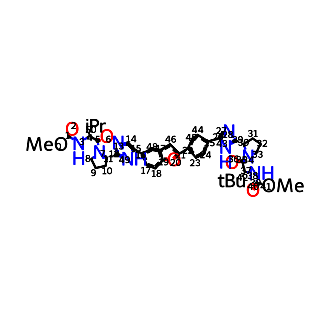 COC(=O)N[C@H](C(=O)N1CCC[C@H]1c1ncc(-c2ccc3oc(-c4ccc(-c5cnc([C@@H]6CCCN6C(=O)[C@@H](NC(=O)OC)C(C)(C)C)[nH]5)cc4)cc3c2)[nH]1)C(C)C